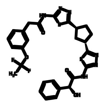 CC(F)(F)Oc1cccc(CC(=O)Nc2nnc([C@H]3CC[C@H](c4nnc(NC(=O)[C@@H](O)c5ccccc5)s4)C3)s2)c1